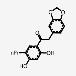 CCCc1cc(C(=O)Cc2ccc3c(c2)OCO3)c(O)cc1O